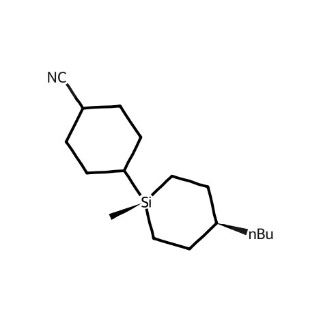 CCCC[C@H]1CC[Si@](C)(C2CCC(C#N)CC2)CC1